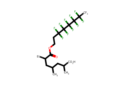 CCC(CC(C)CC(C)C(=O)O)C(=O)OCCC(F)(F)C(F)(F)C(F)(F)C(F)(F)C(F)(F)C(F)(F)F